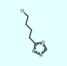 [O]CCCCc1nnco1